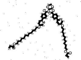 C=CC(=O)OCCCCCCCCCCCCOc1ccc(-c2ccc(C(=O)O[C@@H]3OCCO[C@H]3OC(=O)c3ccc(-c4ccc(OCCCCCCCCCCCCOC(=O)C=C)cn4)cc3)cc2)nc1